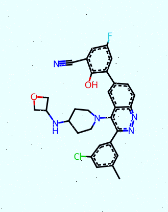 Cc1cc(Cl)cc(-c2nnc3ccc(-c4cc(F)cc(C#N)c4O)cc3c2N2CCC(NC3COC3)CC2)c1